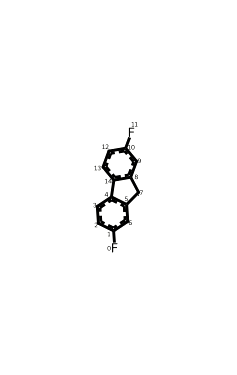 Fc1ccc2c(c1)[CH]c1cc(F)ccc1-2